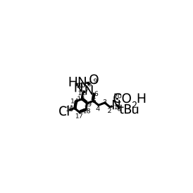 CC(C)(C)N(CCCc1cn2c(=O)[nH]nc2c2cc(Cl)ccc12)C(=O)O